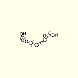 Cc1cc(OC[C@@H]2C[C@H](O)CCO2)cc(C)c1-c1cccc(COc2ccc3c(c2)OCC3CC(=O)O)c1